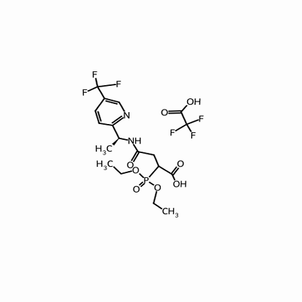 CCOP(=O)(OCC)C(CC(=O)N[C@@H](C)c1ccc(C(F)(F)F)cn1)C(=O)O.O=C(O)C(F)(F)F